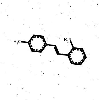 Cc1ccc(C=Cc2ccccc2N)cc1